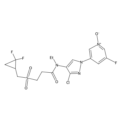 CCN(C(=O)CCS(=O)(=O)CC1CC1(F)F)c1cn(-c2cc(F)c[n+]([O-])c2)nc1Cl